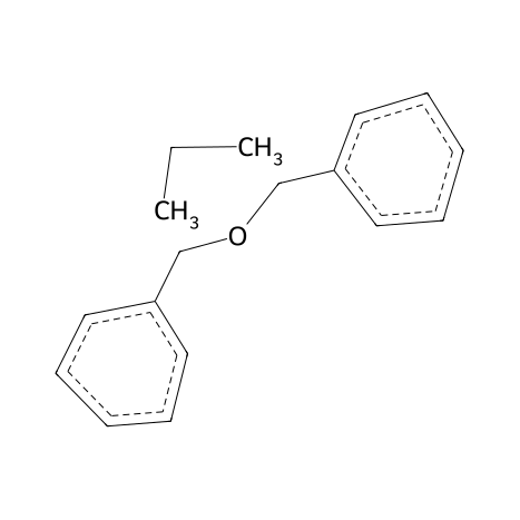 CCC.c1ccc(COCc2ccccc2)cc1